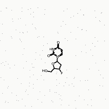 O=c1ccn(C2CC(F)C(CO)O2)c(=O)[nH]1